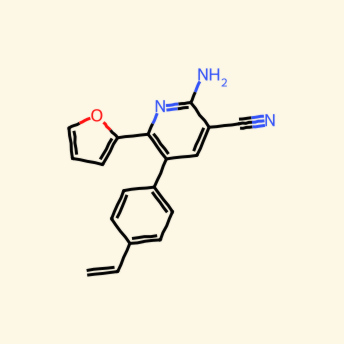 C=Cc1ccc(-c2cc(C#N)c(N)nc2-c2ccco2)cc1